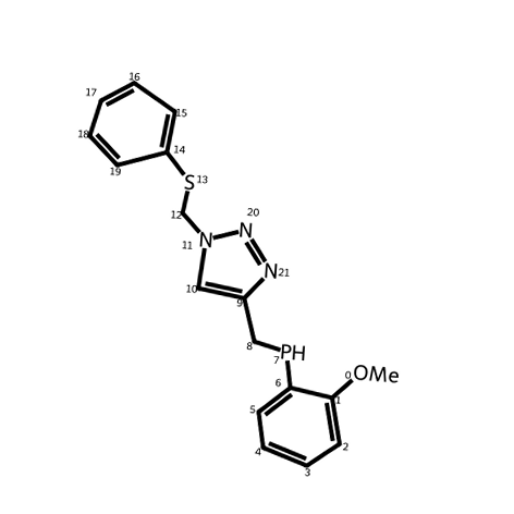 COc1ccccc1PCc1cn(CSc2ccccc2)nn1